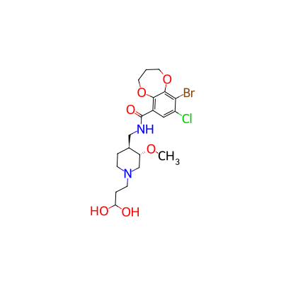 CO[C@@H]1CN(CCC(O)O)CC[C@H]1CNC(=O)c1cc(Cl)c(Br)c2c1OCCCO2